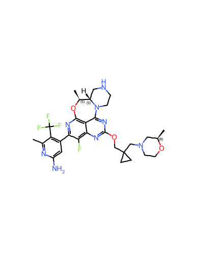 Cc1nc(N)cc(-c2nc3c4c(nc(OCC5(CN6CCO[C@H](C)C6)CC5)nc4c2F)N2CCNC[C@H]2[C@H](C)O3)c1C(F)(F)F